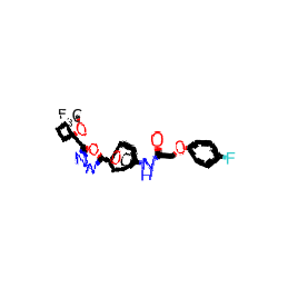 O=C(COc1ccc(F)cc1)NC12CCC(c3nnc(C4(OC(F)(F)F)CCC4)o3)(CC1)OC2